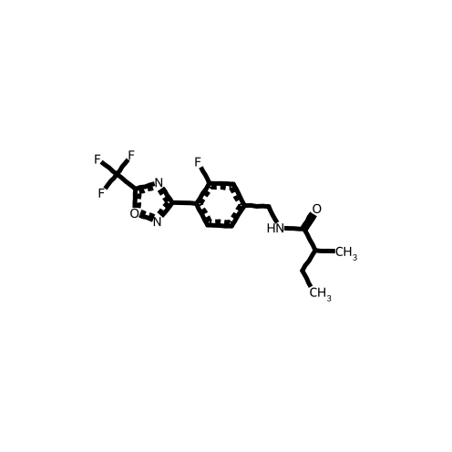 CCC(C)C(=O)NCc1ccc(-c2noc(C(F)(F)F)n2)c(F)c1